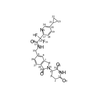 O=C1CCC(N2Cc3cc(CNC(=O)C(F)(F)c4ccc(C5CC5)cn4)ccc3C2=O)C(=O)N1